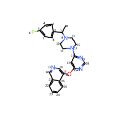 CC(c1ccc(F)cc1)N1CCN(c2cc(Oc3cncc4ccccc34)ncn2)CC1